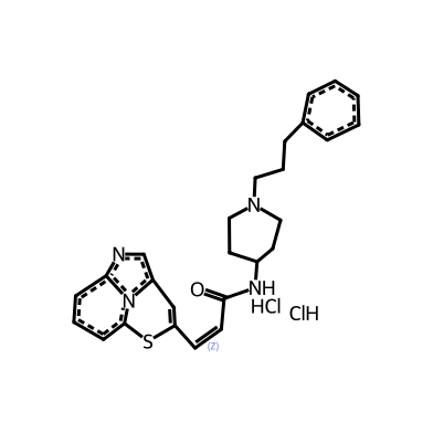 Cl.Cl.O=C(/C=C\C1=Cc2cnc3cccc(n23)S1)NC1CCN(CCCc2ccccc2)CC1